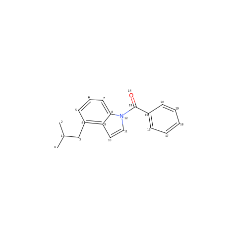 CC(C)Cc1cccc2c1ccn2C(=O)c1ccccc1